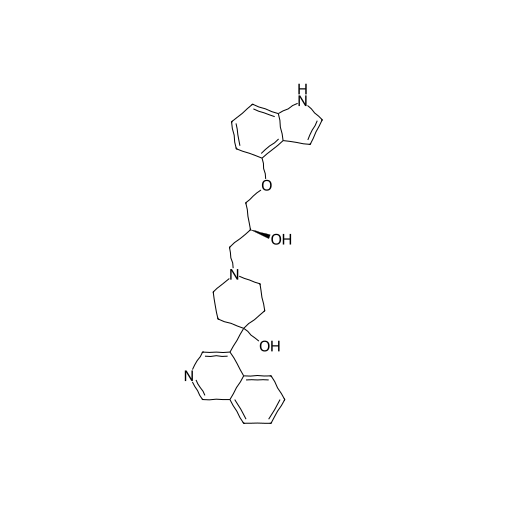 O[C@H](COc1cccc2[nH]ccc12)CN1CCC(O)(c2cncc3ccccc23)CC1